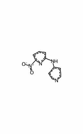 O=[N+]([O-])c1cccc(Nc2ccncc2)n1